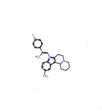 C/C(=C\n1c2c(c3cc(C)ccc31)C1CCCCN1CC2)c1ccc(F)cc1